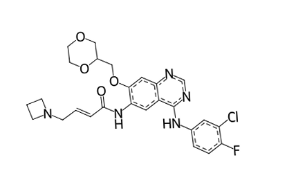 O=C(/C=C/CN1CCC1)Nc1cc2c(Nc3ccc(F)c(Cl)c3)ncnc2cc1OCC1COCCO1